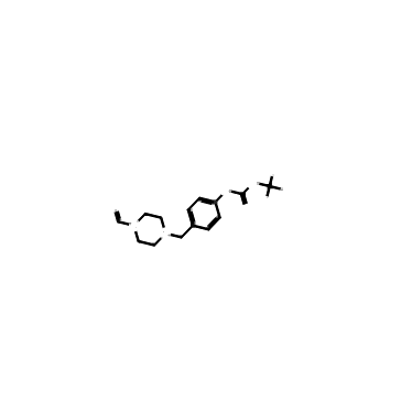 CC(C)(C)OC(=O)Nc1ccc(CN2CCN(C=O)CC2)cc1